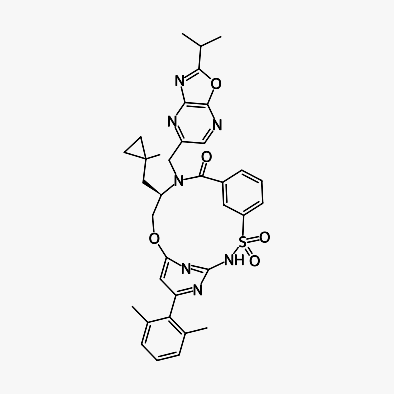 Cc1cccc(C)c1-c1cc2nc(n1)NS(=O)(=O)c1cccc(c1)C(=O)N(Cc1cnc3oc(C(C)C)nc3n1)[C@H](CC1(C)CC1)CO2